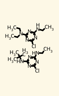 CCNc1nc(Cl)nc(N(CC)CC)n1.CCNc1nc(Cl)nc(NC(C)(C)C)n1